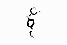 CCOc1ccc(NN(CC)CC)cc1